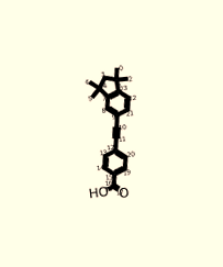 CC1(C)CC(C)(C)c2cc(C#Cc3ccc(C(=O)O)cc3)ccc21